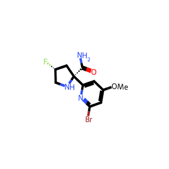 COc1cc(Br)nc([C@]2(C(N)=O)C[C@@H](F)CN2)c1